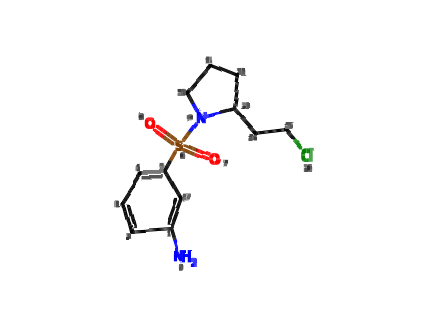 Nc1cccc(S(=O)(=O)N2CCCC2CCCl)c1